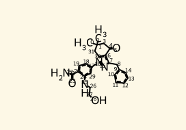 CC1(C)CC(=O)c2c(Cc3ccccc3)nn(-c3ccc(C(N)=O)c(NCCO)c3)c2C1